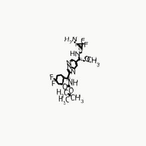 COC[C@@H](NC[C@@H]1[C@H](CN)C1(F)F)c1cnn2cc([C@@H](NC(=O)OC(C)(C)C)C3CCC(F)(F)CC3)nc2c1